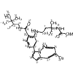 COC(=O)NC(C)(C)CCNc1cc(-c2ccc3cc(C#N)cnn23)ncc1C(=O)NC[C@@H](F)C(C)(C)O